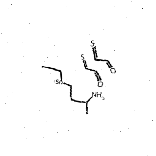 C[CH2][Sn][CH2]CC(C)N.O=CC=S.O=CC=S